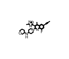 CC#Cc1cc(F)c2nc(N3CCC(N[C@@H]4CCCOC4)CC3)c(-c3nc(C)no3)c(C)c2c1